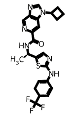 C[C@@H](NC(=O)c1cc2c(cn1)ncn2C1CCC1)c1cnc(NC2=CCC(C(F)(F)F)C=C2)s1